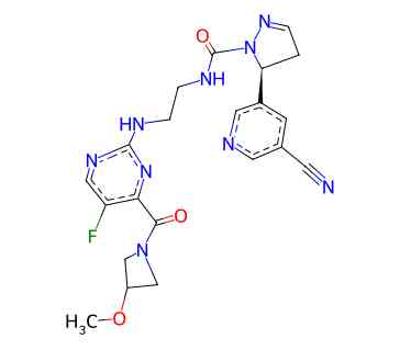 COC1CN(C(=O)c2nc(NCCNC(=O)N3N=CC[C@H]3c3cncc(C#N)c3)ncc2F)C1